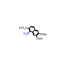 CCOC(=O)c1ccc2cc(OC)c(OC)cc2c1N